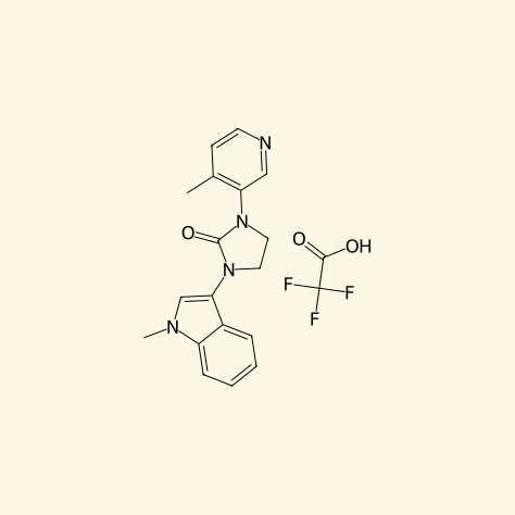 Cc1ccncc1N1CCN(c2cn(C)c3ccccc23)C1=O.O=C(O)C(F)(F)F